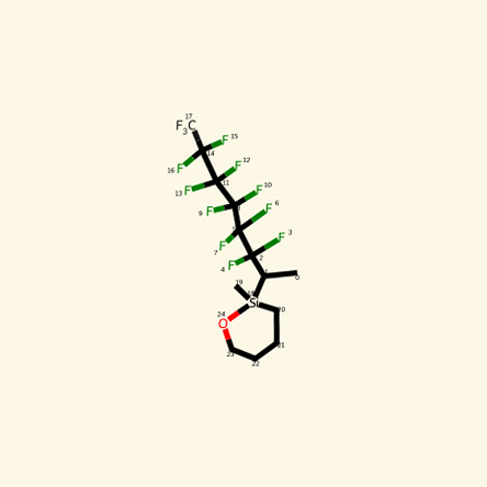 CC(C(F)(F)C(F)(F)C(F)(F)C(F)(F)C(F)(F)C(F)(F)F)[Si]1(C)CCCCO1